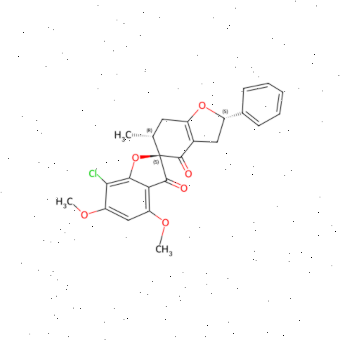 COc1cc(OC)c2c(c1Cl)O[C@@]1(C(=O)C3=C(C[C@H]1C)O[C@H](c1ccccc1)C3)C2=O